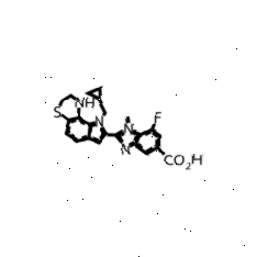 Cn1c(-c2cc3ccc4c(c3n2CC2CC2)NCCS4)nc2cc(C(=O)O)cc(F)c21